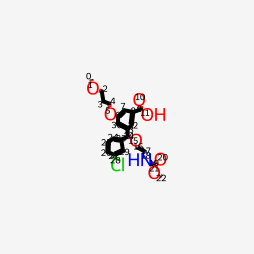 COCCCOc1cc(C(=O)O)cc(C(OCCNC(=O)OC)c2cccc(Cl)c2)c1